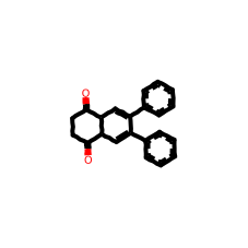 O=C1CCC(=O)C2C=C(c3ccccc3)C(c3ccccc3)=CC12